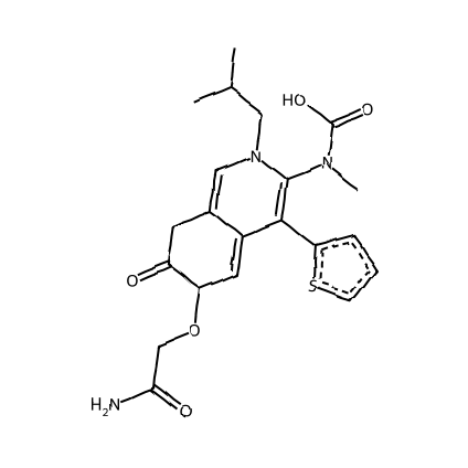 CC(C)CN1C=C2CC(=O)C(OCC(N)=O)C=C2C(c2cccs2)=C1N(C)C(=O)O